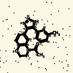 CC(=O)N1CCOc2ccc(-c3nn[nH]c3-c3cccc(C)n3)cc21